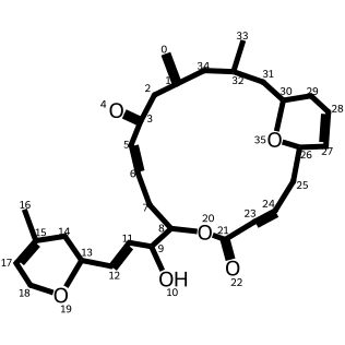 C=C1CC(=O)C=CCC(C(O)C=CC2CC(C)=CCO2)OC(=O)C=CCC2C=CCC(CC(C)C1)O2